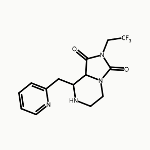 O=C1C2C(Cc3ccccn3)NCCN2C(=O)N1CC(F)(F)F